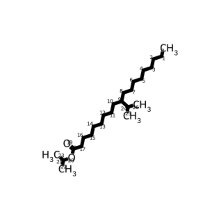 CCCCCCCCCC(CCCCCCCCC(=O)OC(C)C)C(C)C